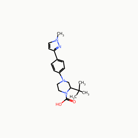 Cn1ccc(-c2ccc(N3CCN(C(=O)O)C(C(C)(C)C)C3)cc2)n1